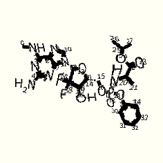 CNc1nc(N)nc2c1ncn2[C@@H]1O[C@H](COP(=O)(NC(C)C(=O)OC(C)C)Oc2ccccc2)[C@@H](O)C1(F)F